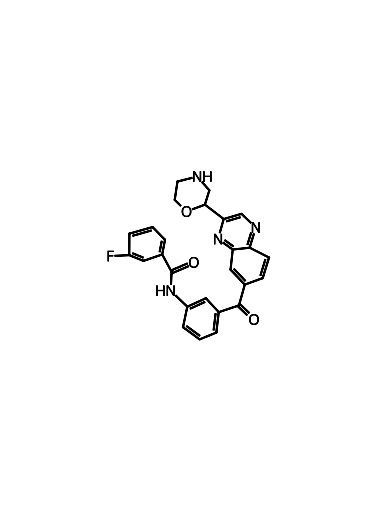 O=C(Nc1cccc(C(=O)c2ccc3ncc(C4CNCCO4)nc3c2)c1)c1cccc(F)c1